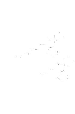 CCN(CC)CCOC(=O)C1(c2ccccc2)CCCC1.CCN(CC)CCOC(=O)C1(c2ccccc2)CCCC1.O=S(=O)(O)CCS(=O)(=O)O